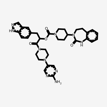 Nc1ncc(N2CCN(C(=O)C(Cc3ccc4[nH]ncc4c3)OC(=O)N3CCC(N4CCc5ccccc5NC4=O)CC3)CC2)cn1